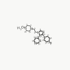 CN1CCN(CCn2cnc(-c3ccc(F)cc3)c2-c2ccncn2)CC1